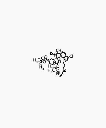 COCCCn1cc(Cl)c2ccc([C@H](C)N(C(=O)[C@H]3CN(C(=O)OC(C)(C)C)CCN3C(=O)OC(C)(C)C)C3CC3)cc21